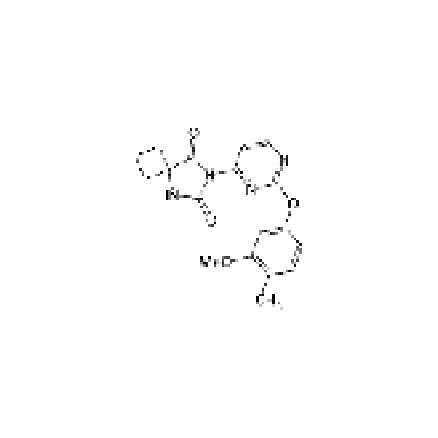 COc1cc(Oc2nccc(N3C(=O)NC4(CCC4)C3=O)n2)ccc1C